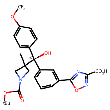 CC(C)(C)OC(=O)N1CC(C)([C@](O)(c2ccc(OC(F)(F)F)cc2)c2cccc(-c3nc(C(=O)O)no3)c2)C1